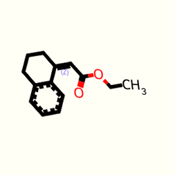 CCOC(=O)/C=C1/CCCc2ccccc21